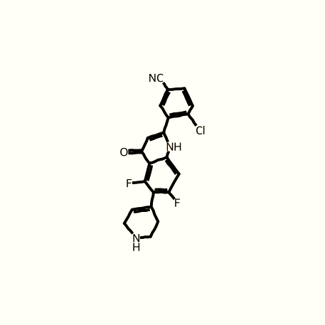 N#Cc1ccc(Cl)c(-c2cc(=O)c3c(F)c(C4=CCNCC4)c(F)cc3[nH]2)c1